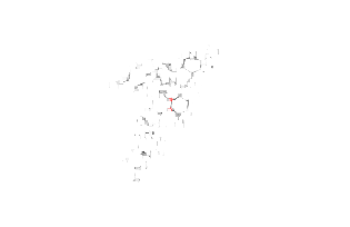 CCOc1cc(C(C)(C)C)ncc1/C(=N/C(C)(C)C1C=CC(Cl)=CC1)N(Cc1ccc(Cl)cc1)C(=O)N1CCC(CC(=O)N2CCN(CC(C)C)CC2)CC1